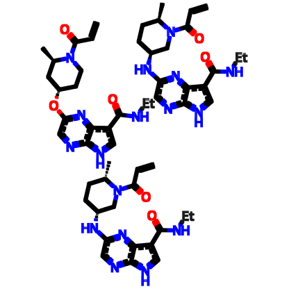 C=CC(=O)N1CC[C@H](Oc2cnc3[nH]cc(C(=O)NCC)c3n2)C[C@H]1C.C=CC(=O)N1C[C@@H](Nc2cnc3[nH]cc(C(=O)NCC)c3n2)CC[C@H]1C.C=CC(=O)N1C[C@H](Nc2cnc3[nH]cc(C(=O)NCC)c3n2)CC[C@@H]1C